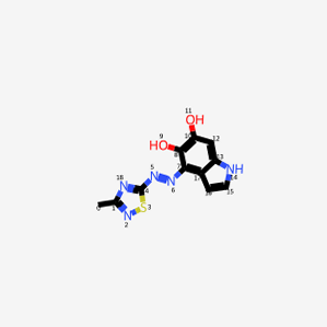 Cc1nsc(/N=N/c2c(O)c(O)cc3[nH]ccc23)n1